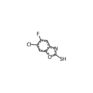 Fc1cc2nc(S)oc2cc1Cl